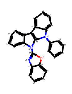 c1ccc(-n2c3ccccc3c3c4ccccc4n(-c4nc5ccccc5o4)c32)cc1